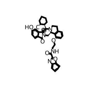 O=C(NCCOc1cccc2c1[C@@H](CN1C(=O)c3ccccc3C1=O)N(C(=O)[C@@H]1CCCC[C@@H]1C(=O)O)CC2)c1nc2ccccc2o1